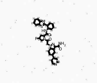 NC(=O)c1nn(CC(=O)N2CC(F)CC2C(=O)Nc2ccccc2-c2nc3ccccc3s2)c2ccc(-c3ccnnc3)cc12